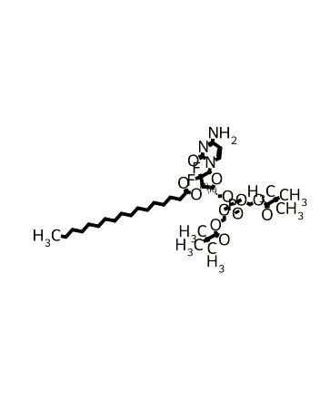 CCCCCCCCCCCCCCCCC(=O)O[C@@H]1[C@@H](COP(=O)(OCOC(=O)C(C)(C)C)OCOC(=O)C(C)(C)C)OC(n2ccc(N)nc2=O)C1(F)F